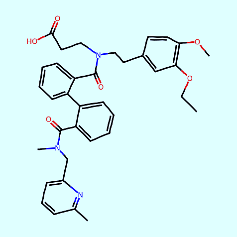 CCOc1cc(CCN(CCC(=O)O)C(=O)c2ccccc2-c2ccccc2C(=O)N(C)Cc2cccc(C)n2)ccc1OC